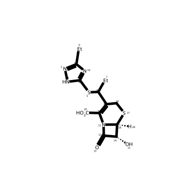 CCc1n[nH]c(SC(CC)C2=C(C(=O)O)N3C(=O)[C@@H](O)[C@@H]3SC2)n1